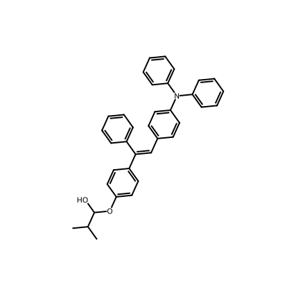 CC(C)C(O)Oc1ccc(C(=Cc2ccc(N(c3ccccc3)c3ccccc3)cc2)c2ccccc2)cc1